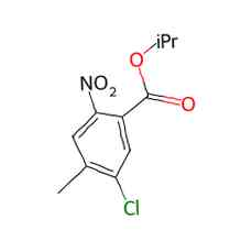 Cc1cc([N+](=O)[O-])c(C(=O)OC(C)C)cc1Cl